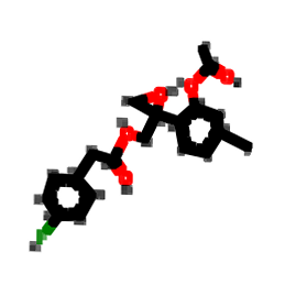 CC(=O)Oc1cc(C)ccc1C1(COC(=O)Cc2ccc(F)cc2)CO1